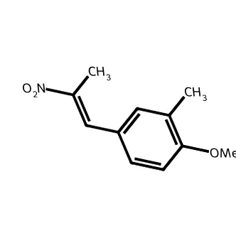 COc1ccc(/C=C(\C)[N+](=O)[O-])cc1C